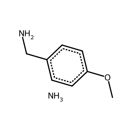 COc1ccc(CN)cc1.N